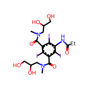 CCC(=O)Nc1c(I)c(C(=O)N(C)CC(O)CO)c(I)c(C(=O)N(C)CC(O)CO)c1I